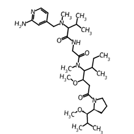 CCC(C)C(C(CC(=O)N1CCC[C@H]1[C@H](OC)C(C)C)OC)N(C)C(=O)CNC(=O)C(C(C)C)N(C)Cc1ccnc(N)c1